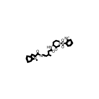 CC(CCNC(=O)c1cc2ccccc2n1C)CC(=O)N[C@@H]1CCCN(S(=O)(=O)c2ccccc2C#N)CC1=O